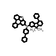 CC1(C)c2cc(N(c3ccc(-c4ccccc4)cc3)c3cc4sc5cccc6c7ccccc7c(c3)c4c56)ccc2-c2c(-c3ccccc3)cccc21